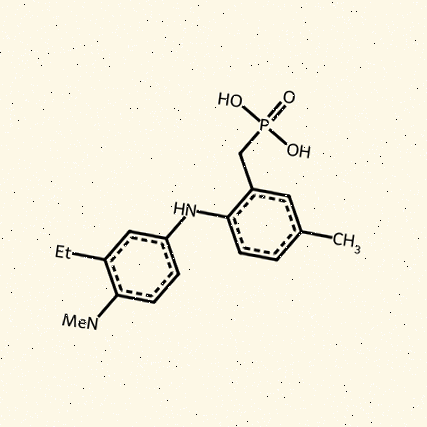 CCc1cc(Nc2ccc(C)cc2CP(=O)(O)O)ccc1NC